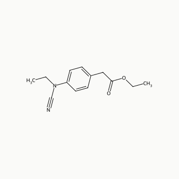 CCOC(=O)Cc1ccc(N(C#N)CC)cc1